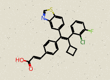 O=C(O)C=Cc1ccc(C(=C(c2cccc(F)c2Cl)C2CCC2)c2ccc3scnc3c2)cc1